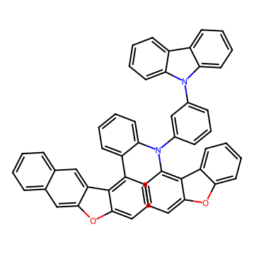 c1cc(N(c2ccccc2-c2cccc3oc4cc5ccccc5cc4c23)c2cccc3oc4ccccc4c23)cc(-n2c3ccccc3c3ccccc32)c1